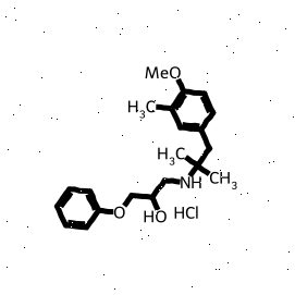 COc1ccc(CC(C)(C)NCC(O)COc2ccccc2)cc1C.Cl